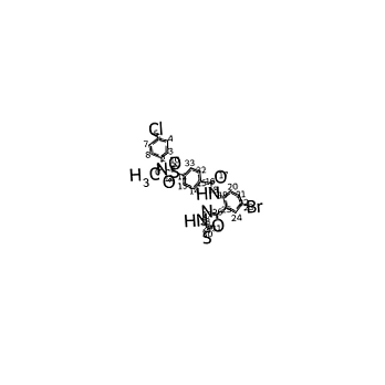 CN(c1ccc(Cl)cc1)S(=O)(=O)c1ccc(C(=O)Nc2ccc(Br)cc2-c2n[nH]c(=S)o2)cc1